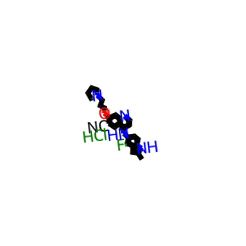 Cc1cc2c(F)c(Nc3ccnc4cc(OCCCN5CCCC5)c(C#N)cc34)ccc2[nH]1.Cl